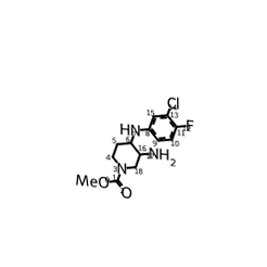 COC(=O)N1CCC(Nc2ccc(F)c(Cl)c2)C(N)C1